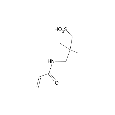 C=CC(=O)NCC(C)(C)CS(=O)(=O)O